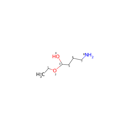 CCOC(O)CCCN